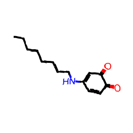 CCCCCCCCNC1=CC(=O)C(=O)C=C1